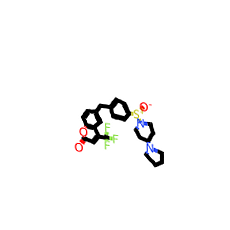 O=c1cc(C(F)(F)F)c2cc(Cc3ccc([S+]([O-])N4CCC(N5CCCC5)CC4)cc3)ccc2o1